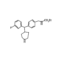 CCOC(=O)NCc1ccc(C(c2cccc(F)c2)C2CCNCC2)cc1